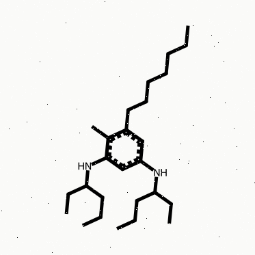 CCCCCCCc1cc(NC(CC)CCC)cc(NC(CC)CCC)c1C